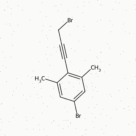 Cc1cc(Br)cc(C)c1C#CCBr